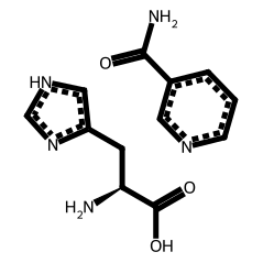 NC(=O)c1cccnc1.N[C@@H](Cc1c[nH]cn1)C(=O)O